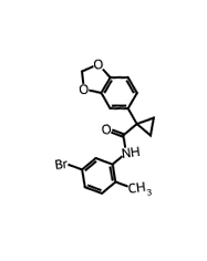 Cc1ccc(Br)cc1NC(=O)C1(c2ccc3c(c2)OCO3)CC1